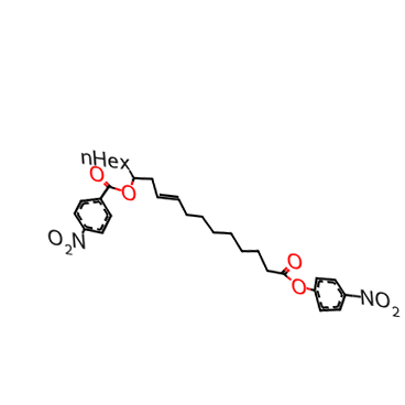 CCCCCCC(CC=CCCCCCCCC(=O)Oc1ccc([N+](=O)[O-])cc1)OC(=O)c1ccc([N+](=O)[O-])cc1